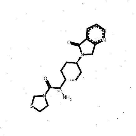 N[C@H](C(=O)N1CCSC1)[C@H]1CC[C@H](N2Cc3ncccc3C2=O)CC1